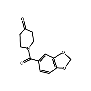 O=C1CCN(C(=O)c2ccc3c(c2)OCO3)CC1